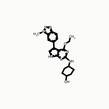 CCOc1nc(NC2CCC(O)CC2)nc2[nH]cc(-c3ccc4nnn(C)c4c3)c12